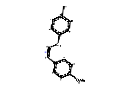 COc1ccc(/C=C\Sc2ccc(C)cc2)cc1